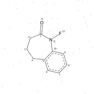 O=C1CCCc2ccccc2N1F